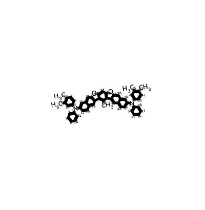 Cc1ccc(N(c2ccccc2)c2ccc3cc4c(cc3c2)oc2cc3oc5cc6cc(N(c7ccccc7)c7ccc(C)c(C)c7)ccc6cc5c3c(C)c24)cc1C